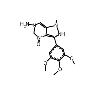 COc1cc(C2=C3C(=CN(N)C[N+]3=O)N(C)N2)cc(OC)c1OC